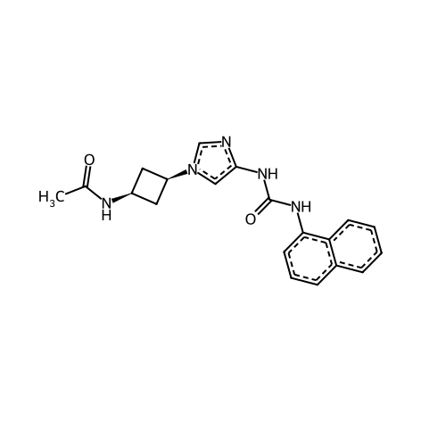 CC(=O)N[C@H]1C[C@@H](n2cnc(NC(=O)Nc3cccc4ccccc34)c2)C1